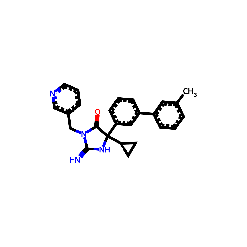 Cc1cccc(-c2cccc(C3(C4CC4)NC(=N)N(Cc4cccnc4)C3=O)c2)c1